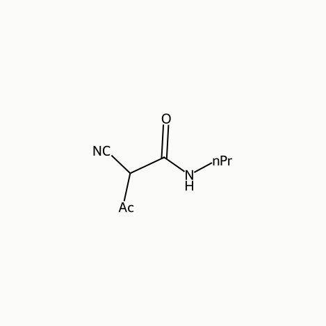 [CH2]CCNC(=O)C(C#N)C(C)=O